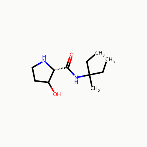 [CH2]C(CC)(CC)NC(=O)[C@H]1NCCC1O